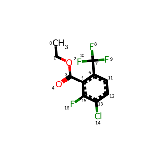 CCOC(=O)c1c(C(F)(F)F)ccc(Cl)c1F